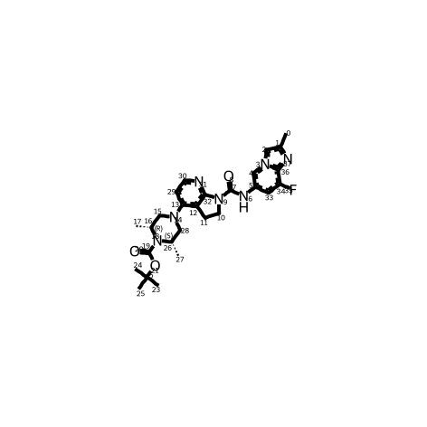 Cc1cn2cc(NC(=O)N3CCc4c(N5C[C@@H](C)N(C(=O)OC(C)(C)C)[C@@H](C)C5)ccnc43)cc(F)c2n1